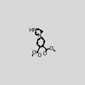 COC(=O)c1ccccc1C(=O)OC.c1c[nH]cn1